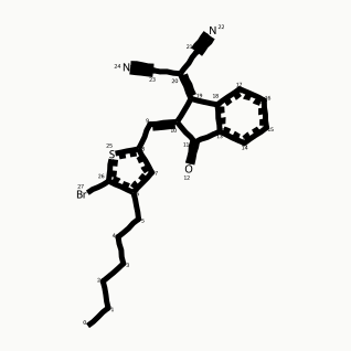 CCCCCCc1cc(/C=C2\C(=O)c3ccccc3C2=C(C#N)C#N)sc1Br